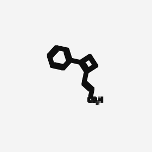 O=C(O)C=CC1=C(c2ccccc2)CC1